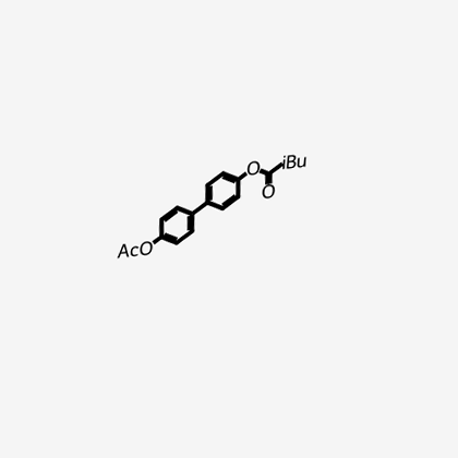 CCC(C)C(=O)Oc1ccc(-c2ccc(OC(C)=O)cc2)cc1